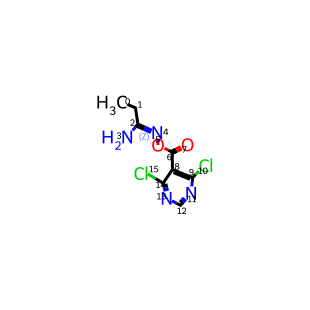 CC/C(N)=N/OC(=O)c1c(Cl)ncnc1Cl